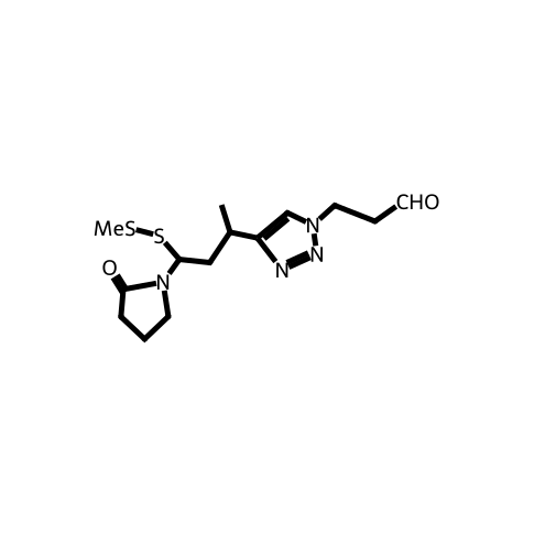 CSSC(CC(C)c1cn(CCC=O)nn1)N1CCCC1=O